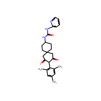 Cc1cc(C)c(C2C(=O)CC3(CCC(NC(=O)Nc4ccccn4)CC3)CC2=O)c(C)c1